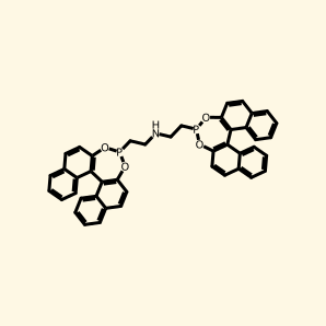 c1ccc2c(c1)ccc1op(CCNCCp3oc4ccc5ccccc5c4c4c(ccc5ccccc54)o3)oc3ccc4ccccc4c3c12